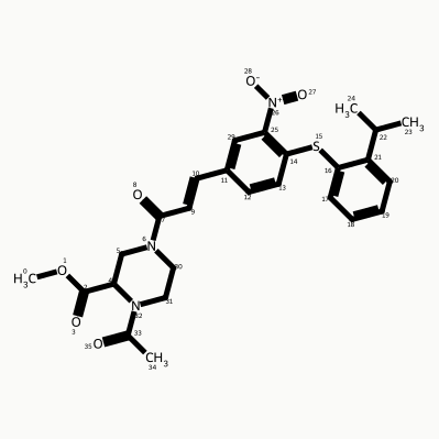 COC(=O)C1CN(C(=O)C=Cc2ccc(Sc3ccccc3C(C)C)c([N+](=O)[O-])c2)CCN1C(C)=O